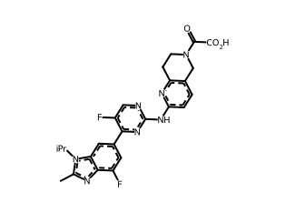 Cc1nc2c(F)cc(-c3nc(Nc4ccc5c(n4)CCN(C(=O)C(=O)O)C5)ncc3F)cc2n1C(C)C